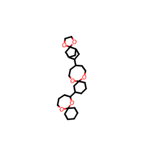 C1CCC2(CC1)OCCCC(C1CCCC3(C1)OCCC(C1CC4CC1CC41OCCO1)CCO3)O2